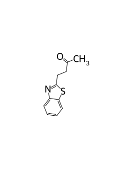 CC(=O)CCc1nc2ccccc2s1